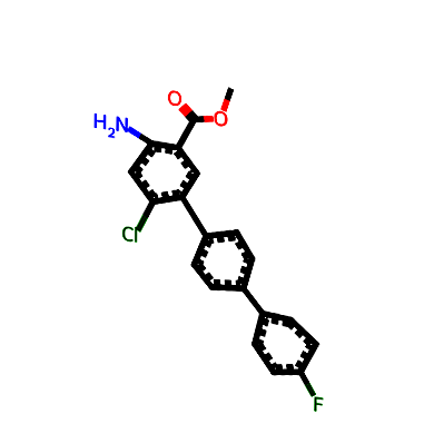 COC(=O)c1cc(-c2ccc(-c3ccc(F)cc3)cc2)c(Cl)cc1N